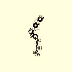 Cc1ccc(Oc2ccc(Nc3ncnc4sc5c(c34)CCN(C(=O)/C=C/CNCCS(C)(=O)=O)C5)cc2C)cn1